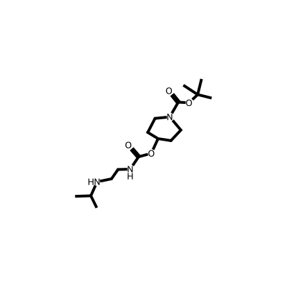 CC(C)NCCNC(=O)OC1CCN(C(=O)OC(C)(C)C)CC1